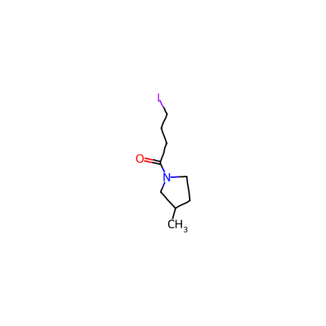 CC1CCN(C(=O)CCCI)C1